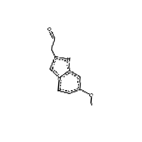 COc1ccn2cc(CC=O)nc2c1